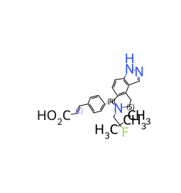 C[C@H]1Cc2c(ccc3[nH]ncc23)[C@@H](c2ccc(/C=C/C(=O)O)cc2)N1CC(C)(C)F